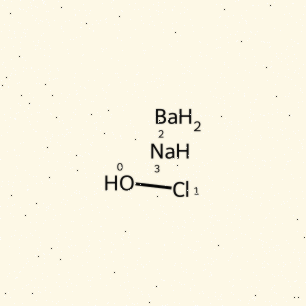 OCl.[BaH2].[NaH]